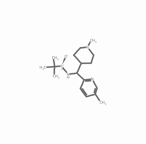 Cc1ccc(C(N[S@+]([O-])C(C)(C)C)C2CCN(C)CC2)nc1